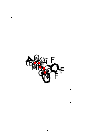 CC(C)(C)[S@+]([O-])N[C@H](Cc1cc(F)c(F)cc1F)C1CC2CCC(C1)N2S(=O)(=O)CCNS(=O)(=O)C1CC1